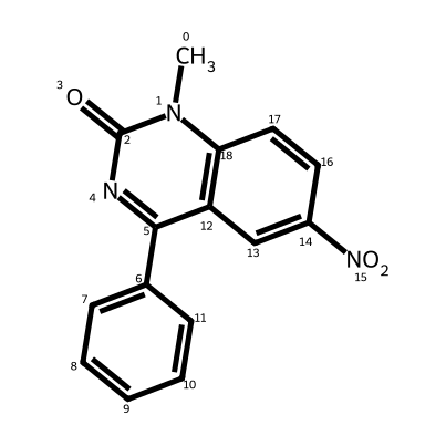 Cn1c(=O)nc(-c2ccccc2)c2cc([N+](=O)[O-])ccc21